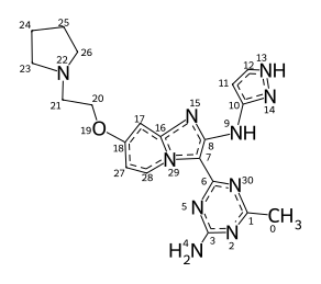 Cc1nc(N)nc(-c2c(Nc3cc[nH]n3)nc3cc(OCCN4CCCC4)ccn23)n1